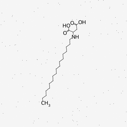 CCCCCCCCCCCCCCCCCCNC(CC(=O)O)C(=O)O